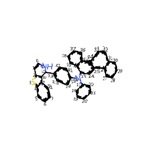 C1=Cc2sc3ccccc3c2C(c2ccc(N(c3ccccc3)c3cc4c5ccccc5ccc4c4ccccc34)cc2)N1